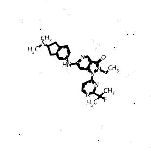 CCn1c(=O)c2cnc(Nc3ccc4c(c3)CC(N(C)C)C4)cc2n1-c1ccnc(C(C)(C)F)n1